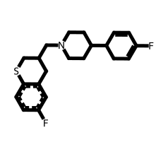 FC1=CC[C](C2CCN(CC3CSc4ccc(F)cc4C3)CC2)C=C1